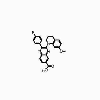 COc1ccc2c(c1)N(c1nc3cc(C(=O)O)ccc3nc1-c1ccc(F)cc1)CCC2